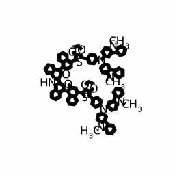 Cn1c2ccccc2c2cc(N(c3ccc(-c4sc(-c5cc6oc7c(c8ccccc8c8[nH]c9c%10ccccc%10c%10c(oc%11cc(-c%12sc(-c%13ccc(N(c%14ccc%15c(c%14)c%14ccccc%14n%15C)c%14ccc%15c(c%14)c%14ccccc%14n%15C)cc%13)c%13c%12OCCO%13)c%12ccccc%12c%11%10)c9c87)c6c6ccccc56)c5c4OCCO5)cc3)c3ccc4c(c3)c3ccccc3n4C)ccc21